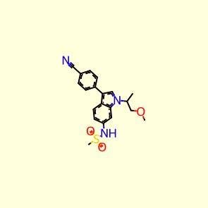 COCC(C)n1cc(-c2ccc(C#N)cc2)c2ccc(NS(C)(=O)=O)cc21